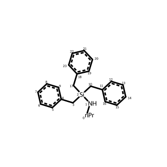 CCCN[Si](Cc1ccccc1)(Cc1ccccc1)Cc1ccccc1